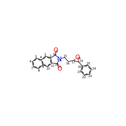 O=C1c2cc3ccccc3cc2C(=O)N1CCC1OC1c1ccccc1